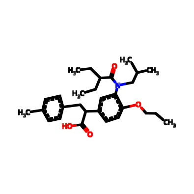 CCCOc1ccc(C(Cc2ccc(C)cc2)C(=O)O)cc1N(CC(C)C)C(=O)C(CC)CC